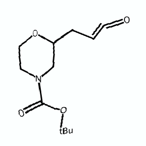 CC(C)(C)OC(=O)N1CCOC(CC=C=O)C1